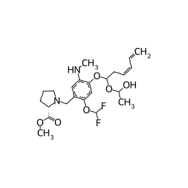 C=C/C=C\CC(Oc1cc(OC(F)F)c(CN2CCC[C@H]2C(=O)OC)cc1NC)OC(C)O